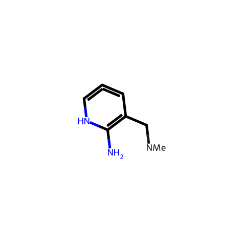 CNCC1=C(N)NC=C=C1